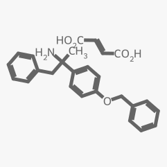 CC(N)(Cc1ccccc1)c1ccc(OCc2ccccc2)cc1.O=C(O)C=CC(=O)O